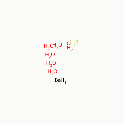 O.O.O.O.O.O.S.[BaH2]